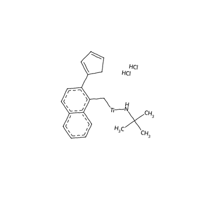 CC(C)(C)[NH][Ti][CH2]c1c(C2=CC=CC2)ccc2ccccc12.Cl.Cl